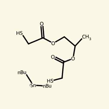 CC(COC(=O)CS)OC(=O)CS.CCC[CH2][Sn][CH2]CCC